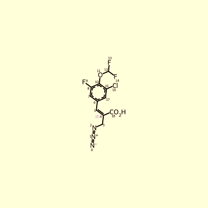 [N-]=[N+]=NC/C(=C/c1cc(F)c(OC(F)F)c(Cl)c1)C(=O)O